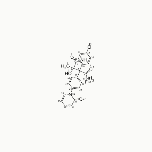 CC(O)(C(N)=O)C(C(N)=O)(c1ccc(Cl)cc1)c1ccc(-n2ccccc2=O)cc1F